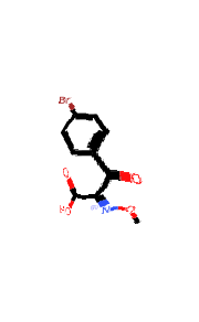 CO/N=C(/C(=O)O)C(=O)c1ccc(Br)cc1